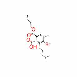 CCCCOC(=O)c1cc(C)c(Br)c(CCCC(C)C)c1C(=O)O